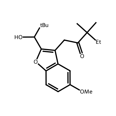 CCC(C)(C)C(=O)Cc1c(C(O)C(C)(C)C)oc2ccc(OC)cc12